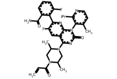 C=CC(=O)N1CC(C)N(c2nc(=O)n(-c3c(C)ccnc3C(C)C)c3nc(-c4c(F)cccc4C(N)=O)c(F)cc23)CC1C